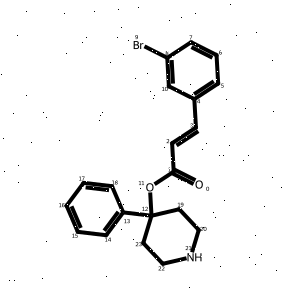 O=C(/C=C/c1cccc(Br)c1)OC1(c2ccccc2)CCNCC1